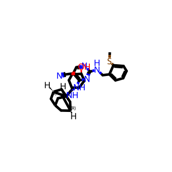 CSc1ccccc1CNc1ncc(C#N)c(NCC23CC4C[C@H](C2)[C@H](N[C@H]2CC[C@H](O)CC2)[C@@H](C4)C3)n1